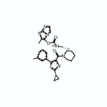 Cc1cccc(-c2sc(C3CC3)nc2C(=O)N2CCCC[C@H]2CNC(=O)Oc2c(C)nc3sccn23)c1